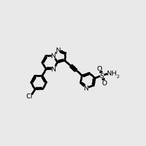 NS(=O)(=O)c1cncc(C#Cc2cnn3ccc(-c4ccc(Cl)cc4)nc23)c1